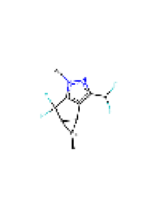 CC(C)n1nc(C(F)F)c2c1C(F)(F)C1C2[C@H]1C